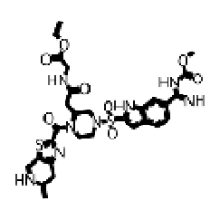 CCOC(=O)CNC(=O)CC1CN(S(=O)(=O)c2cc3ccc(C(=N)NC(=O)OC)cc3[nH]2)CCN1C(=O)c1nc2c(s1)CNC(C)C2